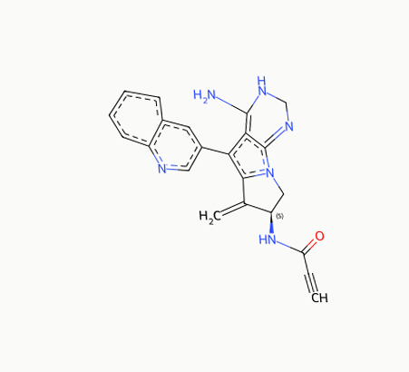 C#CC(=O)N[C@@H]1Cn2c(c(-c3cnc4ccccc4c3)c3c2=NCNC=3N)C1=C